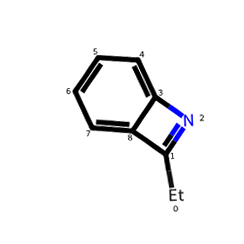 CCC1=Nc2ccccc21